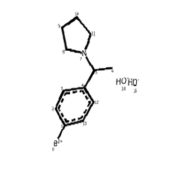 [B+2]c1ccc(C(C)N2CCCC2)cc1.[OH-].[OH-]